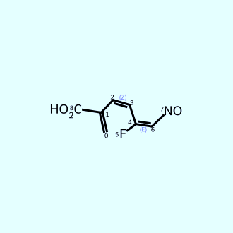 C=C(/C=C\C(F)=C/N=O)C(=O)O